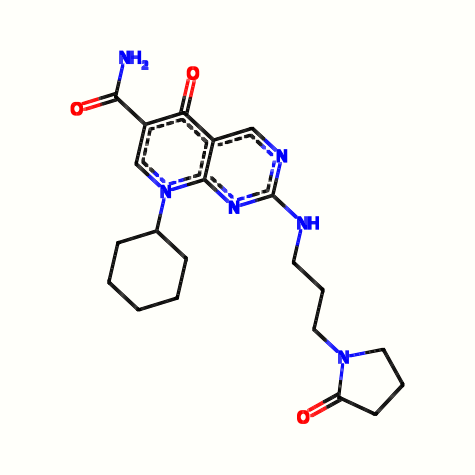 NC(=O)c1cn(C2CCCCC2)c2nc(NCCCN3CCCC3=O)ncc2c1=O